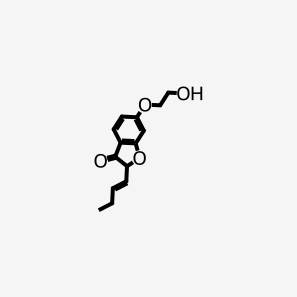 CCC=CC1Oc2cc(OCCO)ccc2C1=O